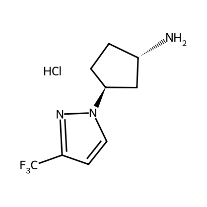 Cl.N[C@H]1CC[C@H](n2ccc(C(F)(F)F)n2)C1